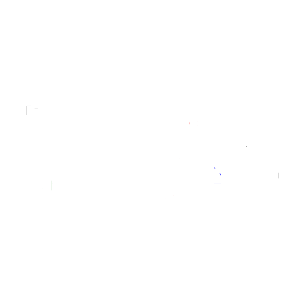 CCc1ccc(S(=O)(=O)NC(C)(C)CC)c(C)c1Cl